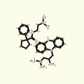 CC(CN(C)C)CN1c2ccccc2Sc2ccccc21.CCN(CC)CCOC(=O)C1(c2ccccc2)CCCC1